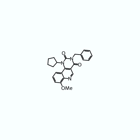 COc1cccc2c1ncc1c(=O)n(Cc3ccccc3)c(=O)n(C3CCCC3)c12